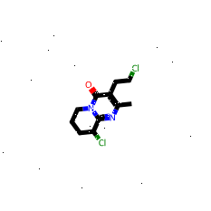 Cc1nc2n(c(=O)c1CCCl)CCCC2Cl